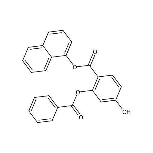 O=C(Oc1cc(O)ccc1C(=O)Oc1cccc2ccccc12)c1ccccc1